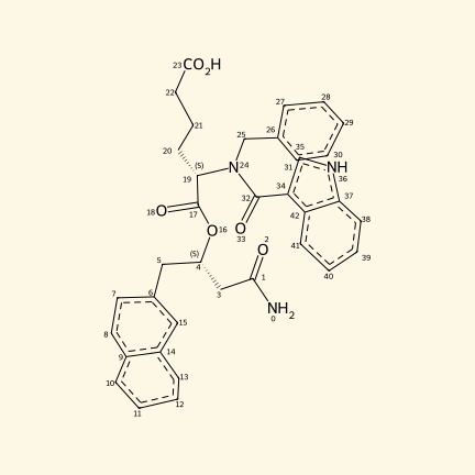 NC(=O)C[C@H](Cc1ccc2ccccc2c1)OC(=O)[C@H](CCCC(=O)O)N(Cc1ccccc1)C(=O)c1c[nH]c2ccccc12